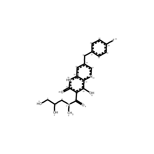 CN(CC(O)CO)C(=O)c1c(O)c2ncc(Cc3ccc(F)cc3)cc2[nH]c1=O